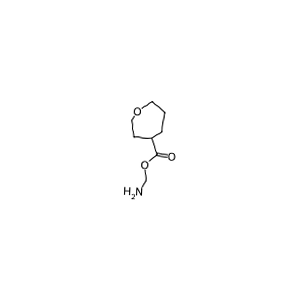 NCOC(=O)C1CCCOCC1